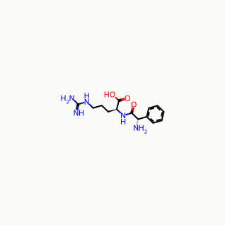 N=C(N)NCCC[C@H](NC(=O)[C@@H](N)c1ccccc1)C(=O)O